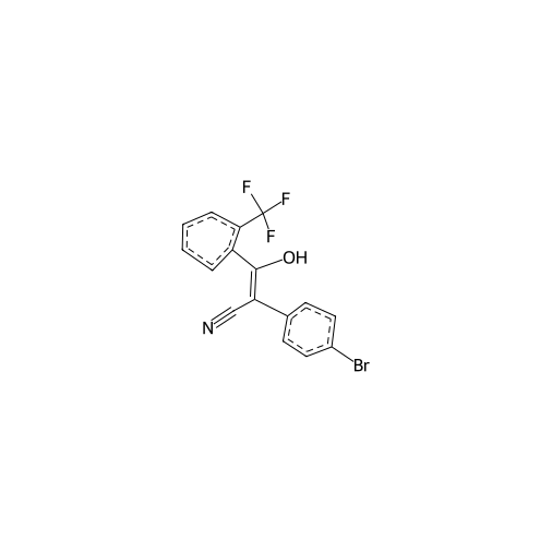 N#CC(=C(O)c1ccccc1C(F)(F)F)c1ccc(Br)cc1